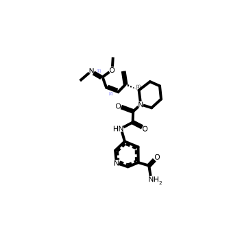 C=C(/C=C\C(=N/C)OC)[C@@H]1CCCCN1C(=O)C(=O)Nc1cncc(C(N)=O)c1